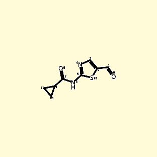 O=Cc1cnc(NC(=O)C2CC2)s1